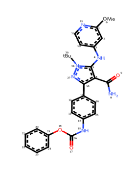 COc1cc(Nc2c(C(N)=O)c(-c3ccc(NC(=O)Oc4ccccc4)cc3)nn2C(C)(C)C)ccn1